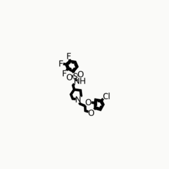 O=S(=O)(NCC1CCN(CC2COc3ccc(Cl)cc3O2)CC1)c1ccc(F)c(F)c1F